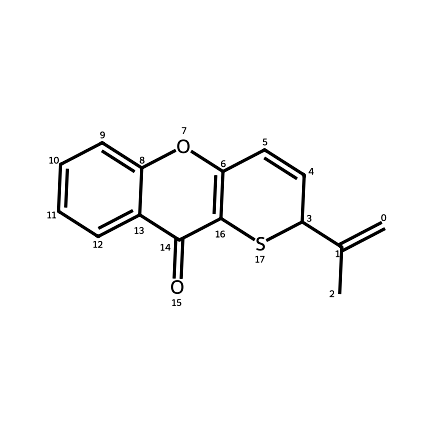 C=C(C)C1C=Cc2oc3ccccc3c(=O)c2S1